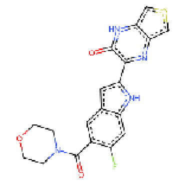 O=C(c1cc2cc(-c3nc4cscc4[nH]c3=O)[nH]c2cc1F)N1CCOCC1